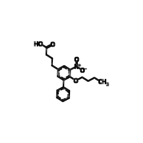 CCCCOc1c(-c2ccccc2)cc(CCCC(=O)O)cc1[N+](=O)[O-]